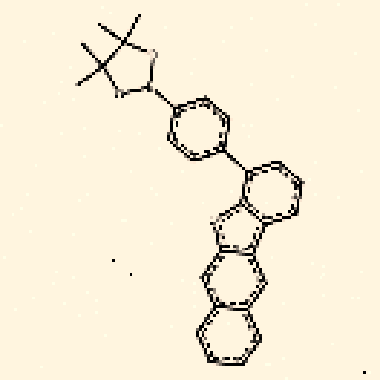 CC1(C)OB(c2ccc(-c3cccc4c3oc3cc5ccccc5cc34)cc2)OC1(C)C